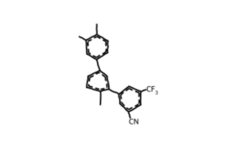 Cc1ccc(-c2ccc(C)c(-c3cc(C#N)cc(C(F)(F)F)c3)c2)cc1C